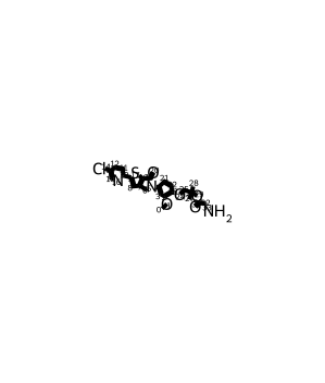 COc1cc(N2Cc3cc(-c4ccc(Cl)cn4)sc3C2=O)ccc1OCC(C)(C)OC(=O)CN